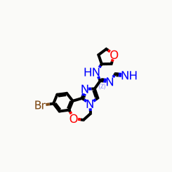 N=C/N=C(\NC1CCOC1)c1cn2c(n1)-c1ccc(Br)cc1OCC2